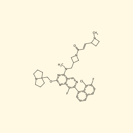 CN(CC1CN(C(=O)/C=C/C2CCN2C)C1)c1nc(OCC23CCCN2CCC3)nc2c(F)c(-c3cccc4ccc(F)c(Cl)c34)ncc12